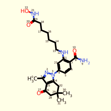 Cc1nn(-c2ccc(C(N)=O)c(NCCCCCCC(=O)NO)c2)c2c1C(=O)CC(C)(C)C2